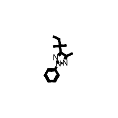 CCC(C)(C)c1nn(-c2ccccc2)nc1C